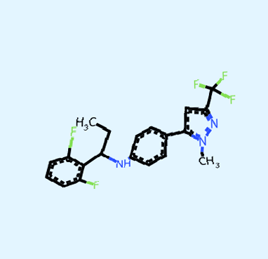 CCC(Nc1ccc(-c2cc(C(F)(F)F)nn2C)cc1)c1c(F)cccc1F